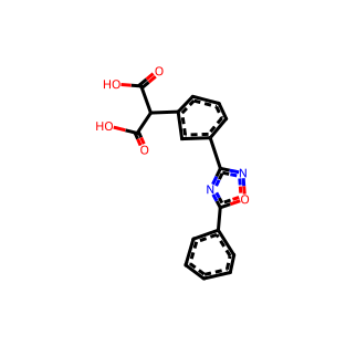 O=C(O)C(C(=O)O)c1cccc(-c2noc(-c3ccccc3)n2)c1